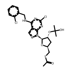 CC(=O)SC[C@@H]1C[C@@H](OC(C)(C)O)[C@H](n2ncc3c(NCc4ccccc4Cl)nc(Cl)nc32)O1